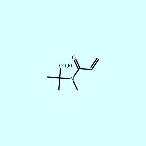 C=CC(=O)N(C)C(C)(C)C(=O)OCC